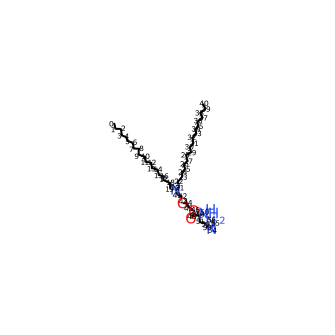 CCCCCCCCCCCCCCCCCCCCN(CCCCCCCCCCCCCCCCCCCC)CCOCCOC(=O)C(N)Cc1cnc[nH]1